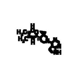 C[C@H](O)[C@H](C)NC(=O)[C@H]1CCN(c2ncnc3[nH]ccc23)CC12CC2